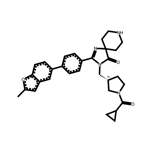 Cc1cc2cc(-c3ccc(C4=NC5(CCNCC5)C(=O)N4C[C@@H]4CCN(C(=O)C5CC5)C4)cc3)ccc2o1